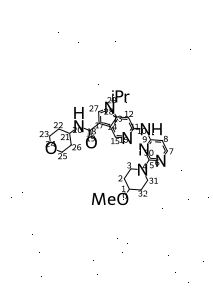 COC1CCN(c2nccc(Nc3cc4c(cn3)c(C(=O)NC3CCOCC3)cn4C(C)C)n2)CC1